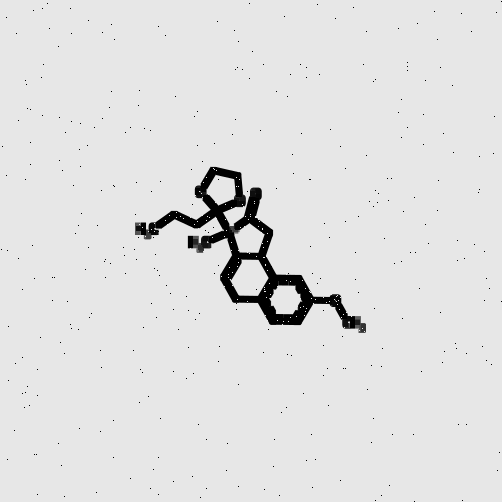 CCCC1([N+]2(C)C(=O)CC3C2=CCc2ccc(OC)cc23)OCCO1